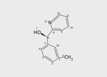 Cc1cccc([C@@H](O)c2ccccn2)c1